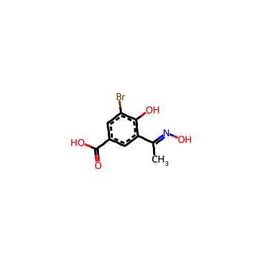 CC(=NO)c1cc(C(=O)O)cc(Br)c1O